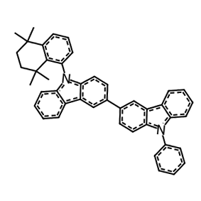 CC1(C)CCC(C)(C)c2c(-n3c4ccccc4c4cc(-c5ccc6c(c5)c5ccccc5n6-c5ccccc5)ccc43)cccc21